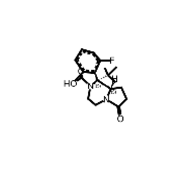 Cc1cccc(F)c1[C@@]1(C(C)(C)C)[C@@H]2CCC(=O)N2CCN1C(=O)O